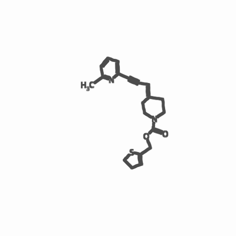 Cc1cccc(C#CC=C2CCN(C(=O)OCC3=CCCS3)CC2)n1